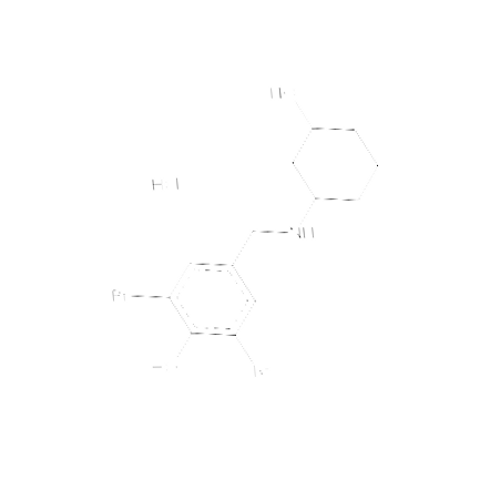 Cl.Oc1c(Br)cc(CNC2CCCC(O)C2)cc1Br